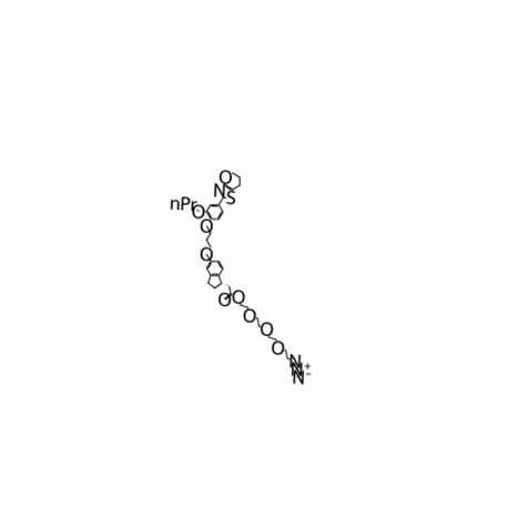 CCCOc1cc(-c2nc3c(s2)CCCO3)ccc1OCCCOc1ccc2c(c1)CC[C@H]2CC(=O)OCCOCCOCCOCCN=[N+]=[N-]